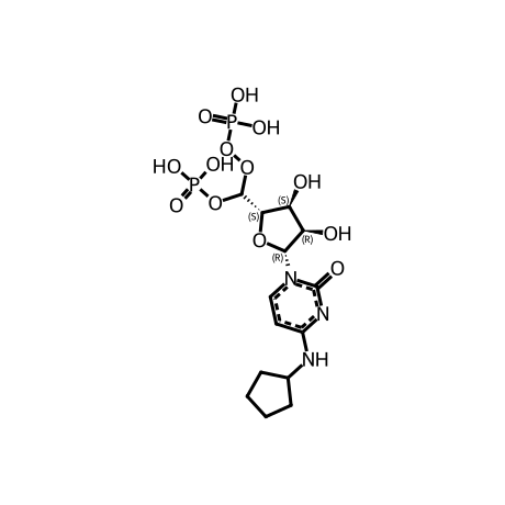 O=c1nc(NC2CCCC2)ccn1[C@@H]1O[C@H](C(OOP(=O)(O)O)OP(=O)(O)O)[C@@H](O)[C@H]1O